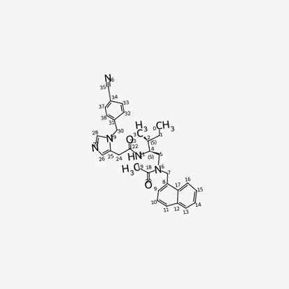 CC[C@H](C)[C@@H](CN(Cc1cccc2ccccc12)C(C)=O)NC(=O)Cc1cncn1Cc1ccc(C#N)cc1